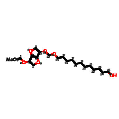 COCO[C@@H]1COC2C1OC[C@@H]2OCOCCCCCCCCCCCCO